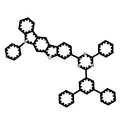 c1ccc(-c2cc(-c3ccccc3)cc(-c3nc(-c4ccccc4)nc(-c4ccc5c(c4)oc4cc6c(cc45)c4ccccc4n6-c4ccccc4)n3)c2)cc1